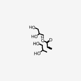 C=CC(=O)O.CC(O)CO.CC(O)CO